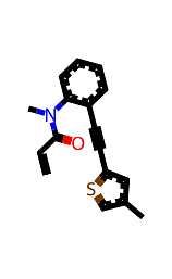 C=CC(=O)N(C)c1ccccc1C#Cc1cc(C)cs1